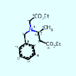 CCOC(=O)C[C@H](C)N(CC(=O)OCC)Cc1ccccc1